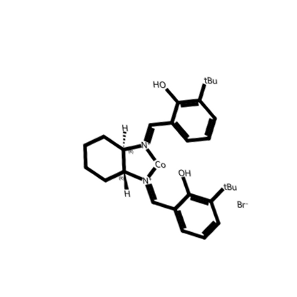 CC(C)(C)c1cccc(C=[N+]2[Co][N+](=Cc3cccc(C(C)(C)C)c3O)[C@@H]3CCCC[C@H]32)c1O.[Br-]